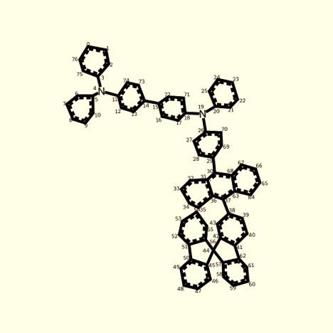 c1ccc(N(c2ccccc2)c2ccc(-c3ccc(N(c4ccccc4)c4ccc(-c5c6ccccc6c(-c6ccc7c(c6)C6(c8ccccc8-c8ccccc86)c6ccccc6-7)c6ccccc56)cc4)cc3)cc2)cc1